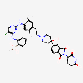 COc1cc(CCN2CCC(O)(c3ccc4c(c3)C(=O)N(C3CCC(=O)NC3=O)C4=O)CC2)c(C)cc1Nc1ncc(Cl)c(Nc2ccccc2S(=O)(=O)C(C)C)n1